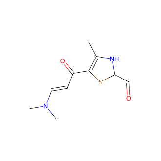 CC1=C(C(=O)C=CN(C)C)SC(C=O)N1